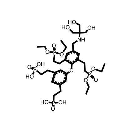 CCOP(=O)(CCc1cc(CNC(CO)(CO)CO)cc(CCP(=O)(OCC)OCC)c1Oc1cc(CCP(=O)(O)O)cc(CCP(=O)(O)O)c1)OCC